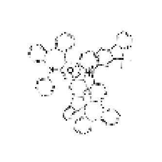 CC1(C)c2ccccc2-c2ccc(N(c3ccc4c(c3)-c3ccccc3-c3ccccc3N4c3ccccc3)c3ccc4c(c3)C3(c5ccccc5-c5ccccc5-4)c4ccccc4-c4cc5oc6ccccc6c5cc43)cc21